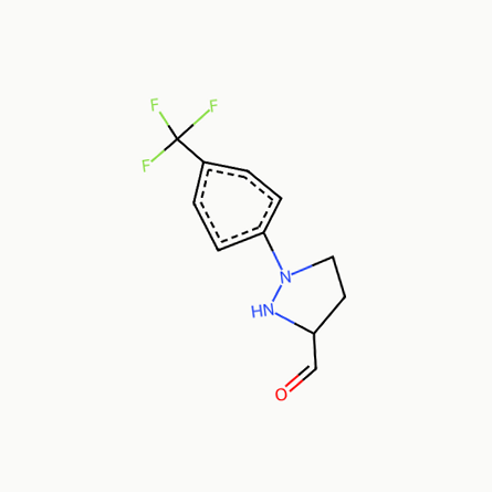 O=CC1CCN(c2ccc(C(F)(F)F)cc2)N1